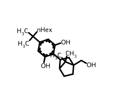 CCCCCCC(C)(C)c1cc(O)c(C2CC3(CO)CCC2C3(C)C)c(O)c1